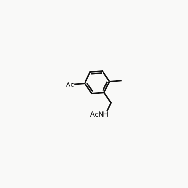 CC(=O)NCc1cc(C(C)=O)ccc1C